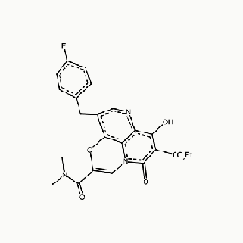 CCOC(=O)c1c(O)c2ncc(Cc3ccc(F)cc3)c3c2n(c1=O)C=C(C(=O)N(C)C)O3